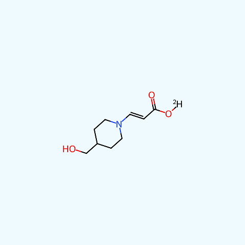 [2H]OC(=O)/C=C/N1CCC(CO)CC1